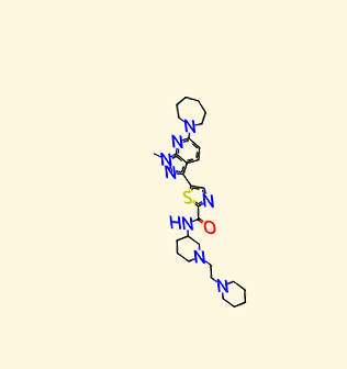 Cn1nc(-c2cnc(C(=O)NC3CCCN(CCN4CCCCC4)C3)s2)c2ccc(N3CCCCCC3)nc21